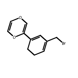 BrCC1=CCCC(C2=COC=CO2)=C1